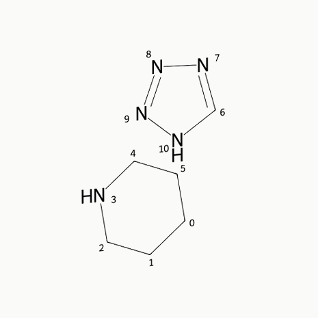 C1CCNCC1.c1nnn[nH]1